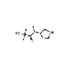 CN(C(=O)C(C)(C)O)C1CCNC1